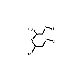 CC(CSCl)OC(C)CSCl